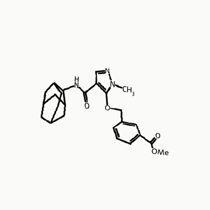 COC(=O)c1cccc(COc2c(C(=O)NC3C4CC5CC(C4)CC3C5)cnn2C)c1